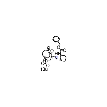 CC(C)(C)OC(=O)N1C[C@H](/C=C/[C@H]2CCCC[C@@H]2NC(=O)OCc2ccccc2)N2C[C@H]1CCCS2(=O)=O